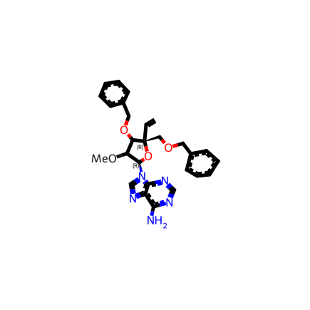 C=C[C@]1(COCc2ccccc2)O[C@@H](n2cnc3c(N)ncnc32)C(OC)C1OCc1ccccc1